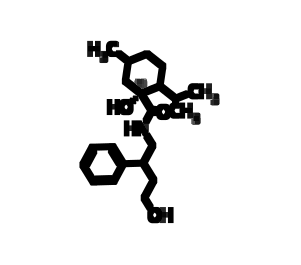 CC1CCC(C(C)C)[C@@](O)(C(=O)NCC(CCO)c2ccccc2)C1